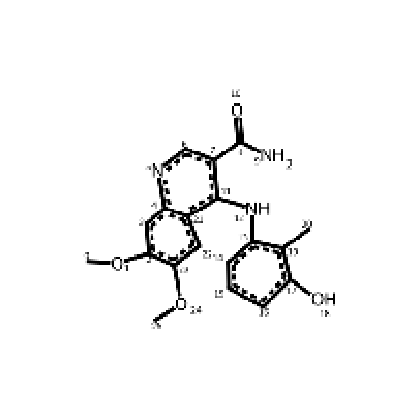 COc1cc2ncc(C(N)=O)c(Nc3cccc(O)c3C)c2cc1OC